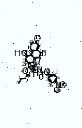 CCCC1O[C@@H]2CC3[C@@H]4C[C@H](F)C5=CC(=O)C=C[C@]5(C)C4C(O)C[C@]3(C)[C@]2(C(=O)COC(=O)Oc2ccc([N+](=O)[O-])cc2)O1